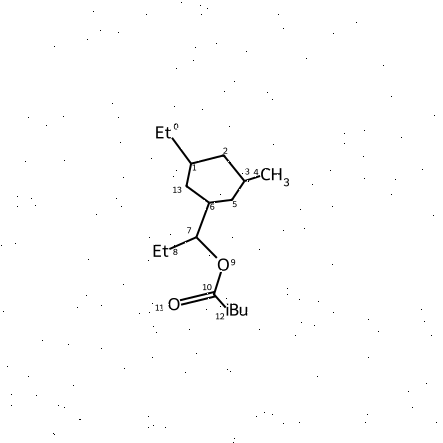 CCC1CC(C)CC(C(CC)OC(=O)C(C)CC)C1